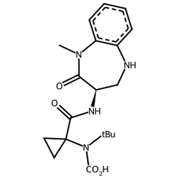 CN1C(=O)[C@H](NC(=O)C2(N(C(=O)O)C(C)(C)C)CC2)CNc2ccccc21